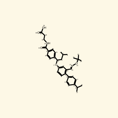 CC(C)CC(Oc1ccc(-c2ccc(C(C)C)cc2)c(/C=N/OC(C)(C)C)c1)c1ccc(C(=O)NCCC(=O)O)cc1